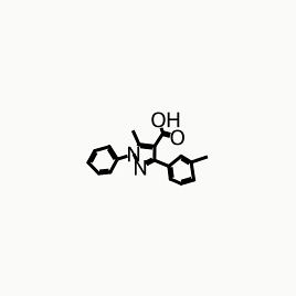 Cc1cccc(-c2nn(-c3ccccc3)c(C)c2C(=O)O)c1